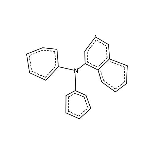 [c]1cc(N(c2ccccc2)c2ccccc2)c2ccccc2c1